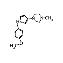 COc1ccc(C[SH]2C=CC(N3CCN(C)CC3)=C2)cc1